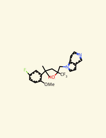 COc1ccc(F)cc1C(C)(C)CC(O)(Cn1ccc2cnccc21)C(F)(F)F